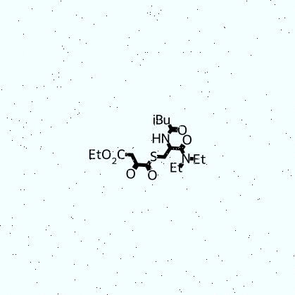 CCOC(=O)CC(=O)C(=O)SCC(NC(=O)C(C)CC)C(=O)N(CC)CC